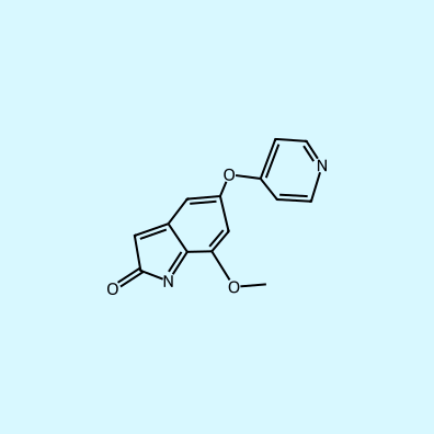 COc1cc(Oc2ccncc2)cc2c1=NC(=O)C=2